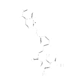 O=C(O)c1cc(Br)cc2c(=O)cc(-c3cccc(OCc4ccc5ccccc5n4)c3)oc12